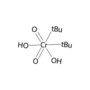 C[C](C)(C)[Cr](=[O])(=[O])([OH])([OH])[C](C)(C)C